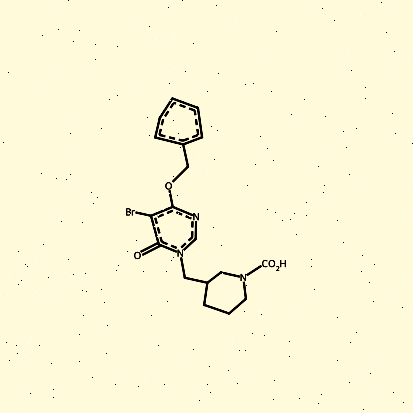 O=C(O)N1CCCC(Cn2cnc(OCc3ccccc3)c(Br)c2=O)C1